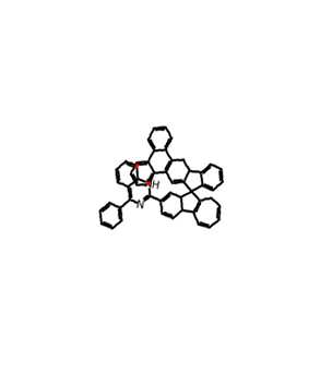 C1=CCC2=C(C=C1)C1C=CC(C3=NC(c4ccccc4)=C4C=CC=CC4N3)=CC1C21C2=Cc3c(c4ccccc4c4ccccc34)CC2c2ccccc21